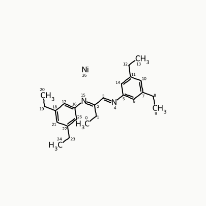 CCC(/C=N/c1cc(CC)cc(CC)c1)=N\c1cc(CC)cc(CC)c1.[Ni]